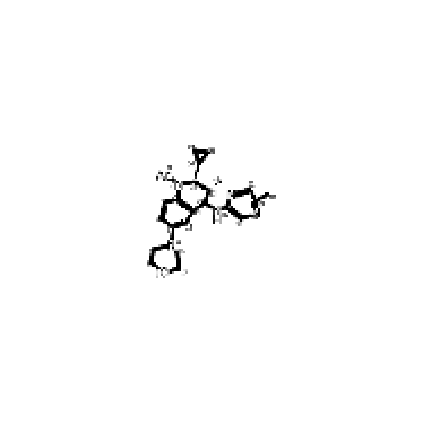 CC(=O)N1c2ccc(N3CCOCC3)cc2C(Nc2cnc(C)cn2)[C@@H](C)[C@@H]1C1CC1